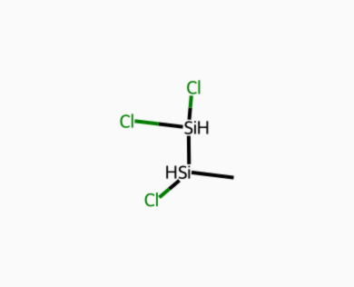 C[SiH](Cl)[SiH](Cl)Cl